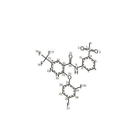 CS(=O)(=O)c1cccc(NC(=O)c2cc(C(F)(F)F)nnc2Oc2ccc(F)cc2F)c1